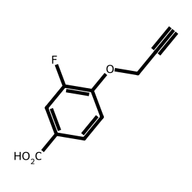 C#CCOc1ccc(C(=O)O)cc1F